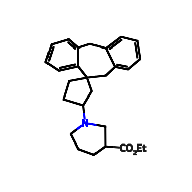 CCOC(=O)C1CCCN(C2CCC3(Cc4ccccc4Cc4ccccc43)C2)C1